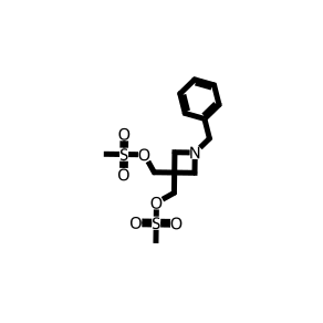 CS(=O)(=O)OCC1(COS(C)(=O)=O)CN(Cc2ccccc2)C1